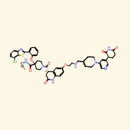 CNC(=O)C1(Oc2ccccc2-c2nc3cccc(Cl)c3s2)CCN(C(=O)[C@H]2CC(=O)Nc3ccc(OCCNCC4CCN(c5cncc(C6CCC(=O)NC6=O)c5)CC4)cc32)CC1